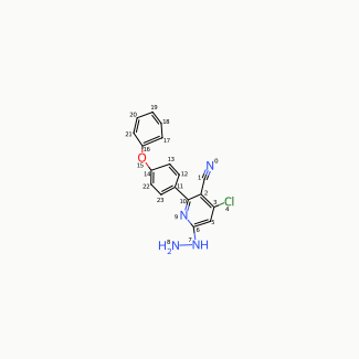 N#Cc1c(Cl)cc(NN)nc1-c1ccc(Oc2ccccc2)cc1